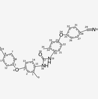 Cc1cc(Oc2ccc(C#N)cc2)ccc1NC(=O)Nc1ccc(Oc2ccc(C#N)cc2)cc1C